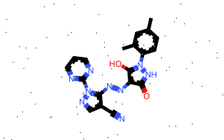 Cc1ccc(-n2[nH]c(=O)c(N=Nc3c(C#N)cnn3-c3ncccn3)c2O)c(C)c1